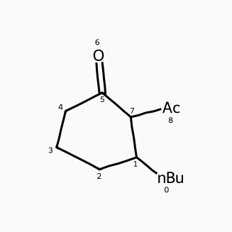 CCCCC1CCCC(=O)C1C(C)=O